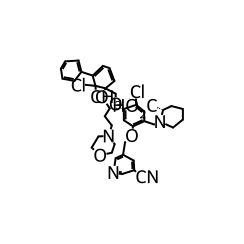 CC1(Cl)C(c2ccccc2)=CC=CC1(COc1cc(OCc2cncc(C#N)c2)c(CN2CCCC[C@H]2C(=O)O)cc1Cl)OCCCN1CCOCC1